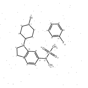 CCN1CCC(N2CCc3ccc(N(C)S(C)(=O)=O)cc32)CC1.Fc1ccccc1